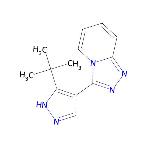 CC(C)(C)c1[nH]ncc1-c1nnc2ccccn12